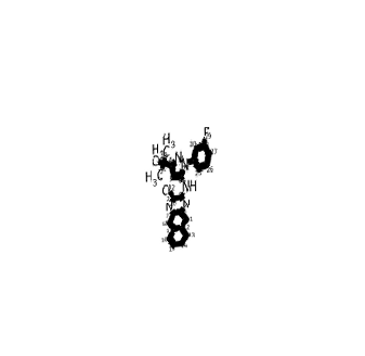 CC(C)(C)c1cc(Nc2nc3cc4ccccc4cc3nc2Cl)n(-c2cccc(F)c2)n1